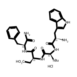 CCCC[C@H](NC(=O)[C@@H](N)Cc1c[nH]c2ccccc12)C(=O)N[C@@H](CC(=O)O)C(=O)N[C@@H](Cc1ccccc1)C(N)=O.Cl